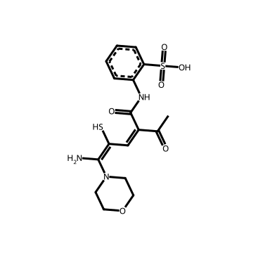 CC(=O)/C(=C/C(S)=C(/N)N1CCOCC1)C(=O)Nc1ccccc1S(=O)(=O)O